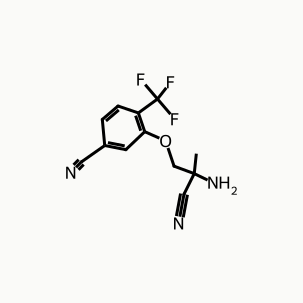 CC(N)(C#N)COc1cc(C#N)ccc1C(F)(F)F